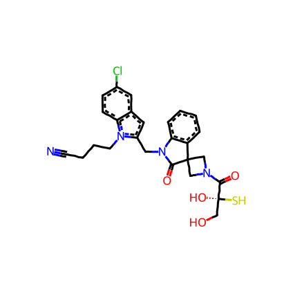 N#CCCCn1c(CN2C(=O)C3(CN(C(=O)[C@@](O)(S)CO)C3)c3ccccc32)cc2cc(Cl)ccc21